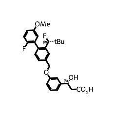 COc1ccc(F)c(-c2ccc(COc3cccc([C@H](O)CC(=O)O)c3)cc2[C@H](F)C(C)(C)C)c1